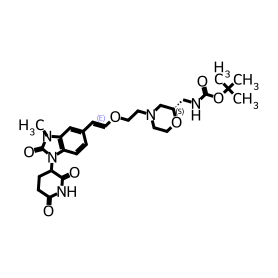 Cn1c(=O)n(C2CCC(=O)NC2=O)c2ccc(/C=C/OCCN3CCO[C@@H](CNC(=O)OC(C)(C)C)C3)cc21